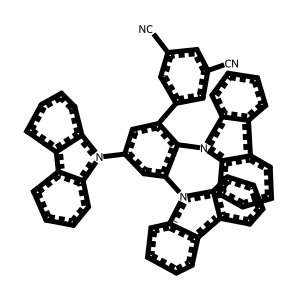 N#Cc1cc(C#N)cc(-c2cc(-n3c4ccccc4c4ccccc43)cc(-n3c4ccccc4c4ccccc43)c2-n2c3ccccc3c3ccccc32)c1